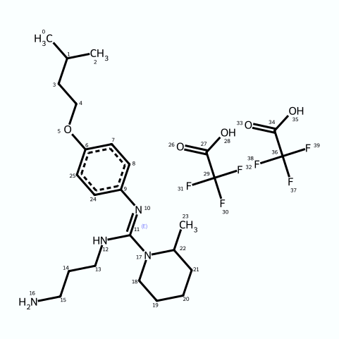 CC(C)CCOc1ccc(/N=C(\NCCCN)N2CCCCC2C)cc1.O=C(O)C(F)(F)F.O=C(O)C(F)(F)F